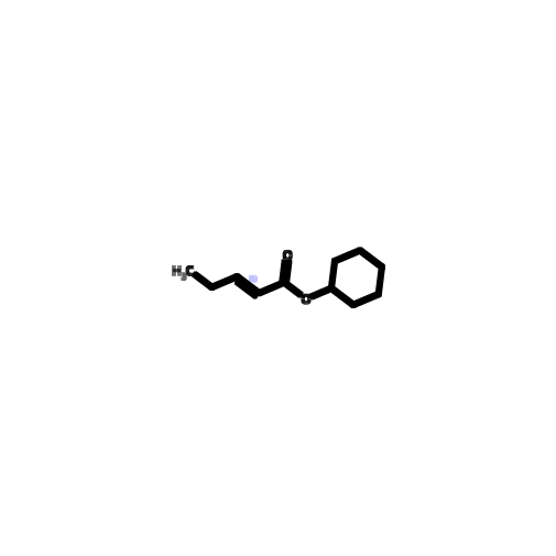 CC/C=C/C(=O)OC1CCCCC1